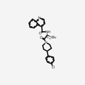 CC[C@H](C)[C@@H](NC(=O)c1ccnc2ccccc12)C(=O)N1CCC(c2ccc(Cl)cc2)CC1